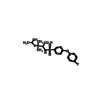 CC(O)SC(C)(C)C(NS(=O)(=O)c1ccc(Oc2ccc(F)cc2)cc1)C(=O)O